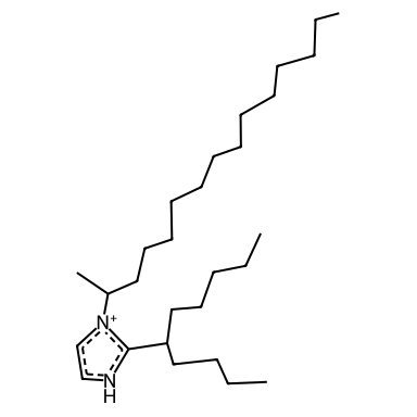 CCCCCCCCCCCCCC(C)[n+]1cc[nH]c1C(CCCC)CCCCC